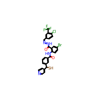 O=C(Nc1ccc(Br)cc1C(=O)N/N=C\c1ccc(Cl)c(C(F)(F)F)c1)c1cccc(C(S)c2ccncc2)c1